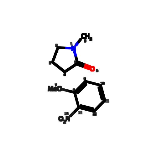 CN1CCCC1=O.COc1ccccc1[N+](=O)[O-]